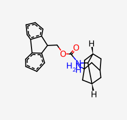 NC12CC3C[C@H](C1)C(NC(=O)OCC1c4ccccc4-c4ccccc41)[C@@H](C3)C2